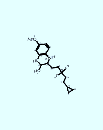 COc1ccc2c(c1)NC(O)C(CCC(F)(F)CCC1CC1)N2